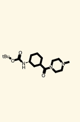 CN1CCN(C(=O)C2CCC[C@@H](NC(=O)OC(C)(C)C)C2)CC1